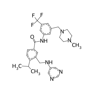 CC(C)c1ccc(C(=O)Nc2cc(CN3CCN(C)CC3)cc(C(F)(F)F)c2)cc1CNc1cncnc1